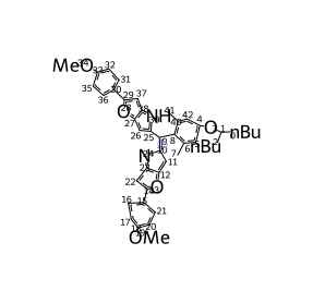 CCCCC(CCCC)Oc1cc(C)c(/C(=C2\C=c3oc(-c4ccc(OC)cc4)cc3=N2)c2cc3oc(-c4ccc(OC)cc4)cc3[nH]2)c(C)c1